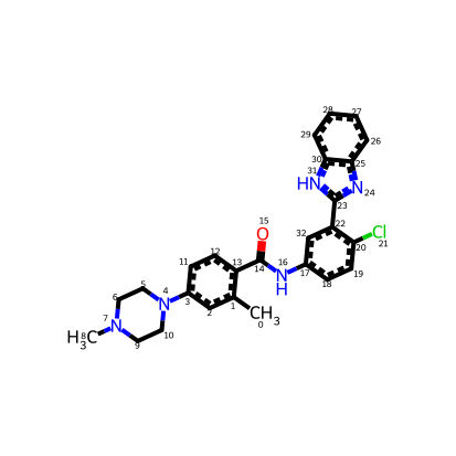 Cc1cc(N2CCN(C)CC2)ccc1C(=O)Nc1ccc(Cl)c(-c2nc3ccccc3[nH]2)c1